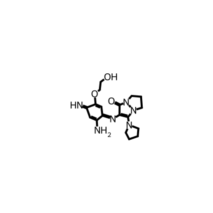 N=C1C=C(N)C(=Nc2c(N3CCCC3)n3n(c2=O)CCC3)C=C1OCCO